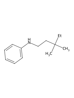 CCC(C)(C)CCNc1ccccc1